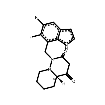 O=C1CC(=O)N(Cc2c(F)c(F)cc3cc[nH]c23)N2CCCC[C@@H]12